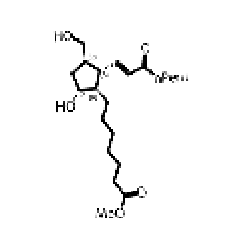 CCCCCC(=O)C=C[C@H]1[C@H](CO)C[C@@H](O)[C@@H]1CCCCCCC(=O)OC